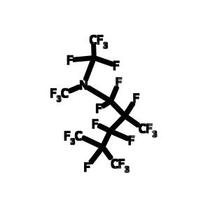 FC(F)(F)N(C(F)(F)C(F)(F)F)C(F)(F)C(F)(C(F)(F)F)C(F)(F)C(F)(C(F)(F)F)C(F)(F)F